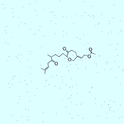 CC(=O)OC/C=C1\CCC(=O)[C@](C)(CCCC(C)C(=O)CC=C(C)C)OC1